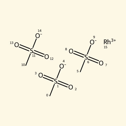 CS(=O)(=O)[O-].CS(=O)(=O)[O-].CS(=O)(=O)[O-].[Rh+3]